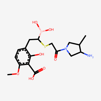 COc1ccc(CC(SCC(=O)N2CC(C)C(N)C2)B(O)O)c(O)c1C(=O)O